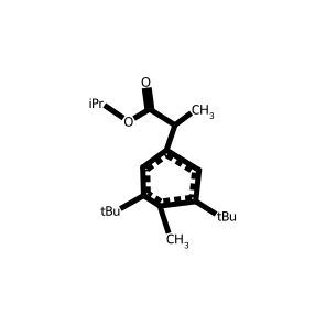 Cc1c(C(C)(C)C)cc(C(C)C(=O)OC(C)C)cc1C(C)(C)C